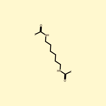 O=C(I)NCCCCCCNC(=O)I